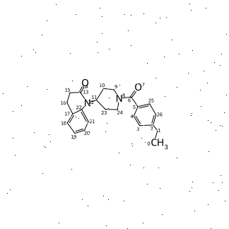 CCc1ccc(C(=O)N2CCC(N3C(=O)CCc4ccccc43)CC2)cc1